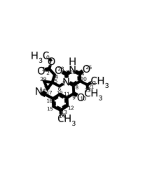 COC(=O)CC1(Cn2c(C(=O)c3cc(C)cc(C#N)c3)c(C(C)C)c(=O)[nH]c2=O)CC1